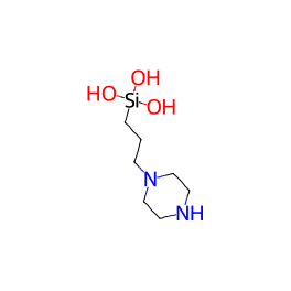 O[Si](O)(O)CCCN1CCNCC1